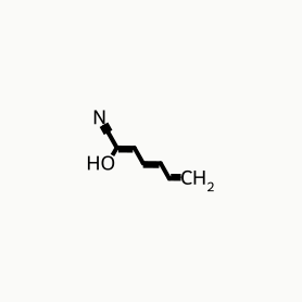 C=CC=CC=C(O)C#N